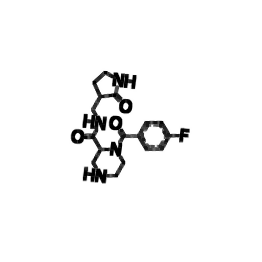 O=C1NCCC1CNC(=O)C1CNCCN1C(=O)c1ccc(F)cc1